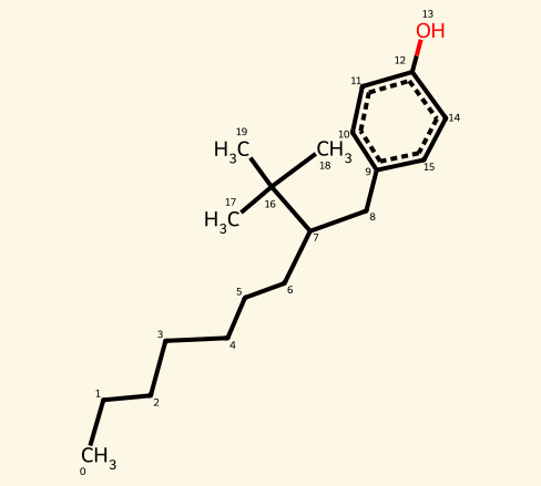 CCCCCCCC(Cc1ccc(O)cc1)C(C)(C)C